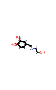 OCC/N=C/c1ccc(O)c(O)c1